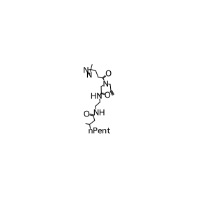 C#CCN(CC(=O)NCCNC(=O)CC(C)CCCCC)C(=O)CCC1(C)N=N1